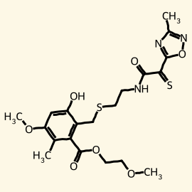 COCCOC(=O)c1c(C)c(OC)cc(O)c1CSCCNC(=O)C(=S)c1nc(C)no1